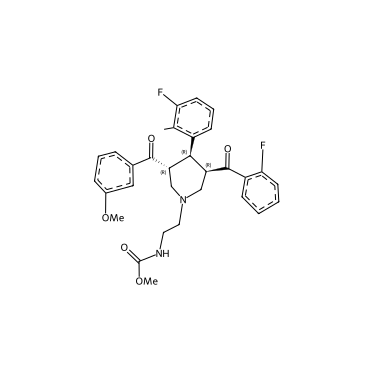 COC(=O)NCCN1C[C@H](C(=O)c2cccc(OC)c2)[C@@H](c2cccc(F)c2C)[C@@H](C(=O)c2ccccc2F)C1